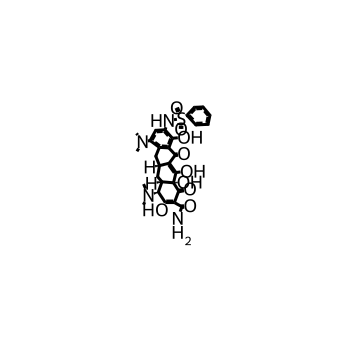 CN(C)c1cc(NS(=O)(=O)c2ccccc2)c(O)c2c1C[C@H]1C[C@H]3[C@H](N(C)C)C(O)=C(C(N)=O)C(=O)[C@]3(O)C(O)=C1C2=O